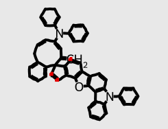 C=C1/C=C(N(C2=CCCC=C2)c2ccccc2)\C=C/Cc2ccccc2C12c1ccccc1-c1c2ccc2c1oc1c2ccc2c1c1ccccc1n2-c1ccccc1